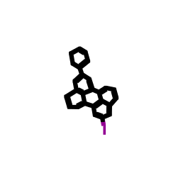 Ic1cc2cccc3c4cc(C5=CC=CCC5)cc5cccc(c(c1)c23)c54